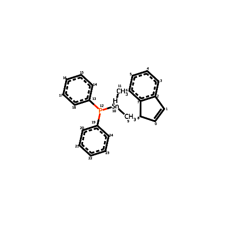 C1=Cc2ccccc2C1.[CH3][SnH]([CH3])[P](c1ccccc1)c1ccccc1